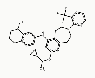 CC(Oc1nc2c(c(Nc3ccc4c(c3)N(C)CCC4)n1)CCN(c1ncccc1C(F)(F)F)CC2)C1CC1